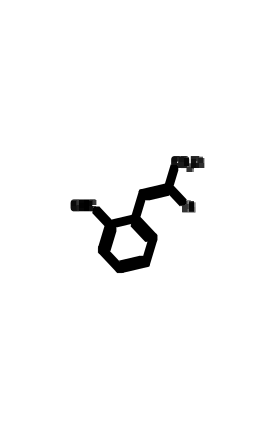 CCOC(=O)C(=Cc1ccccc1C=O)CC